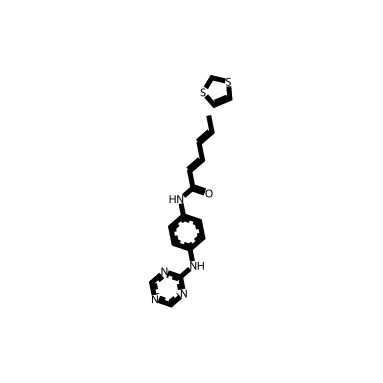 C1=CSCS1.CC=CC=CC(=O)Nc1ccc(Nc2ncncn2)cc1